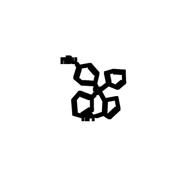 CCCCc1ccc([Si](C2=C(CCC)C=CC2)(c2ccccc2)c2ccccc2)cc1